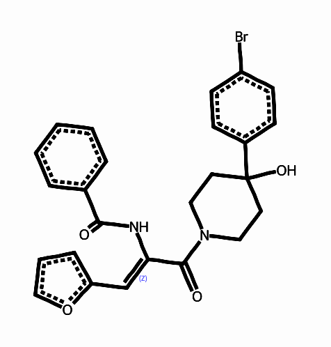 O=C(N/C(=C\c1ccco1)C(=O)N1CCC(O)(c2ccc(Br)cc2)CC1)c1ccccc1